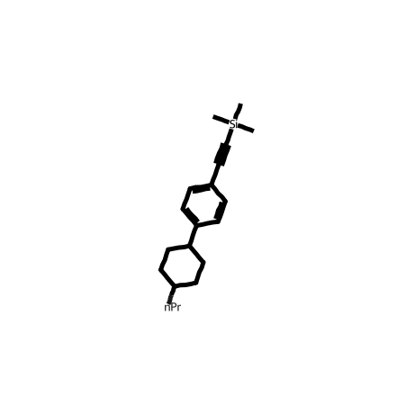 CCCC1CCC(c2ccc(C#C[Si](C)(C)C)cc2)CC1